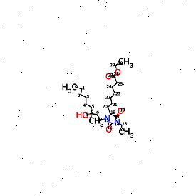 CCCCCCC(C)(O)CCN1C(=O)N(CC)C(=O)C1CCCCCCC(=O)OCC